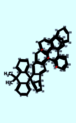 CC1(C)c2ccccc2C2(c3ccccc3-c3cc(N(c4ccccc4-c4ccccc4-c4ccccc4-c4ccccc4)c4cccc5c4sc4ccccc45)ccc32)c2ccccc21